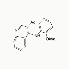 COc1ccccc1Nc1c(C(C)=O)cnc2ccccc12